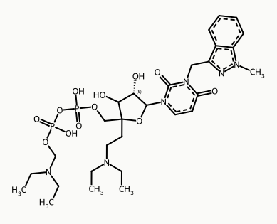 CCN(CC)CCC1(COP(=O)(O)OP(=O)(O)OCN(CC)CC)OC(n2ccc(=O)n(Cc3nn(C)c4ccccc34)c2=O)[C@@H](O)C1O